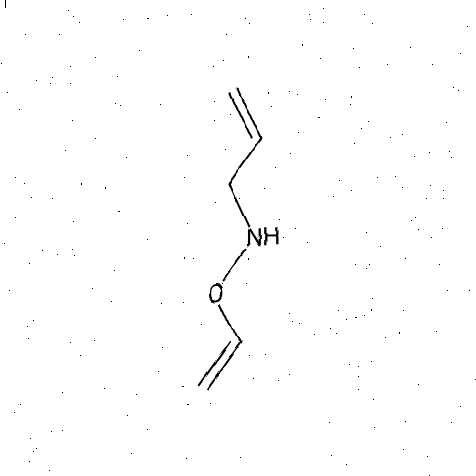 C=CCNOC=C